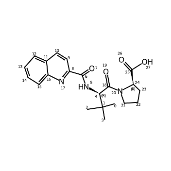 CC(C)(C)[C@@H](NC(=O)c1ccc2ccccc2n1)C(=O)N1CCC[C@@H]1C(=O)O